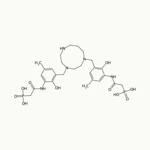 Cc1cc(CN2CCCNCCN(Cc3cc(C)cc(NC(=O)CP(=O)(O)O)c3O)CC2)c(O)c(NC(=O)CP(=O)(O)O)c1